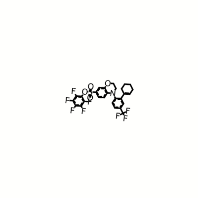 O=S(=O)(Oc1c(F)c(F)c(F)c(F)c1F)c1ccc2c(c1)OCCN2c1ccc(C(F)(F)F)cc1C1=CCCCC1